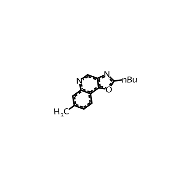 CCCCc1nc2cnc3cc(C)ccc3c2o1